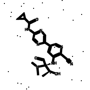 C[C@H](O)[C@@](C=O)(Nc1cc(-c2cnc(NC(=O)C3CC3)cn2)cnc1C#N)N(C)C